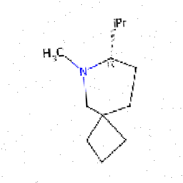 CC(C)[C@@H]1CCC2(CCC2)CN1C